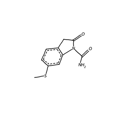 CSc1ccc2c(c1)N(C(N)=O)C(=O)C2